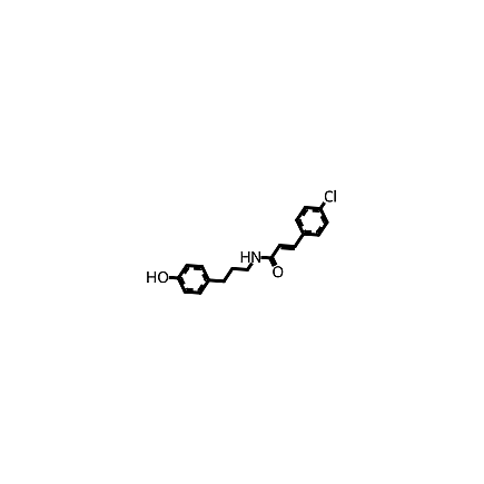 O=C(C=Cc1ccc(Cl)cc1)NCCCc1ccc(O)cc1